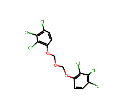 Clc1ccc(OCOCOc2ccc(Cl)c(Cl)c2Cl)c(Cl)c1Cl